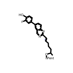 CCCCCOC(C)CCC/C=C/c1ncc2cc(-c3ccc(O)c(F)c3)ccc2n1